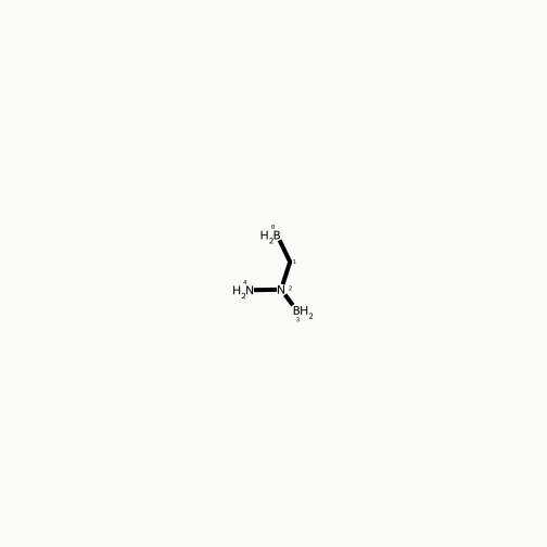 BCN(B)N